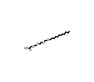 CCCCCCCCCCCCOCCOCCOCCOCC(=O)O